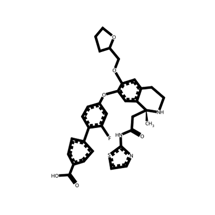 C[C@]1(CC(=O)Nc2nccs2)NCCc2cc(OCC3CCCO3)c(Oc3ccc(-c4ccc(C(=O)O)cc4)c(F)c3)cc21